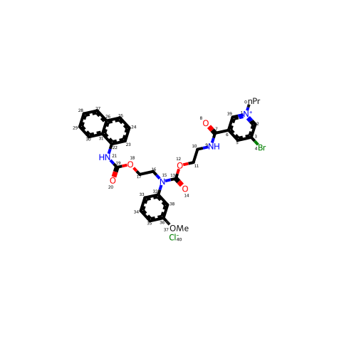 CCC[n+]1cc(Br)cc(C(=O)NCCOC(=O)N(CCOC(=O)Nc2cccc3ccccc23)c2cccc(OC)c2)c1.[Cl-]